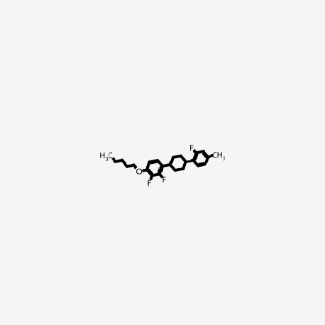 CCCCCOc1ccc(C2CCC(c3ccc(C)cc3F)CC2)c(F)c1F